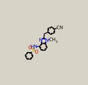 Cn1c(Cc2ccc(C#N)cc2)nc2c(NS(=O)(=O)c3ccccc3)cccc21